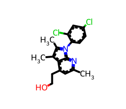 Cc1cc(CCO)c2c(C)c(C)n(-c3ccc(Cl)cc3Cl)c2n1